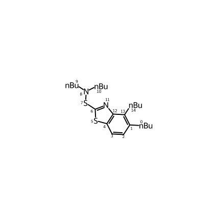 CCCCc1ccc2sc(SN(CCCC)CCCC)nc2c1CCCC